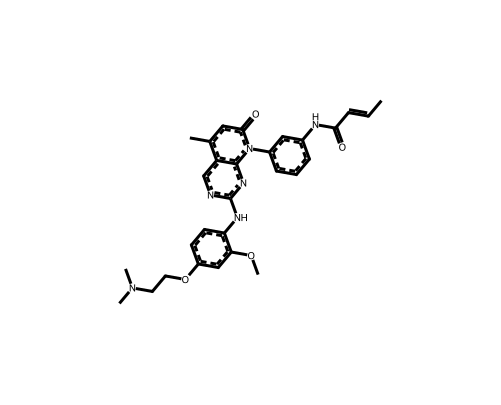 CC=CC(=O)Nc1cccc(-n2c(=O)cc(C)c3cnc(Nc4ccc(OCCN(C)C)cc4OC)nc32)c1